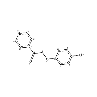 O=C(COc1ccc(Cl)cc1)c1ccncc1